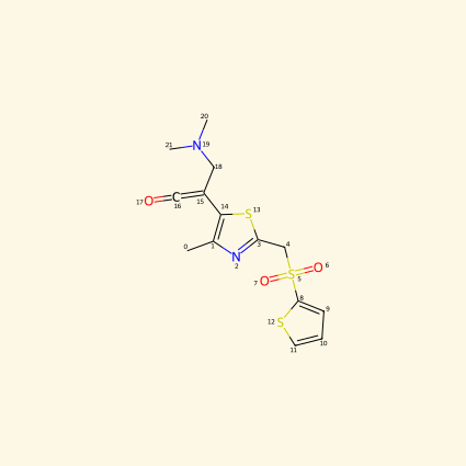 Cc1nc(CS(=O)(=O)c2cccs2)sc1C(=C=O)CN(C)C